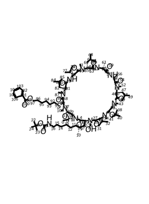 CC[C@H]1NC(=O)[C@H]([C@H](O)[C@H](C)CCCCCCNC(=O)OC(C)(C)C)N(C)C(=O)[C@@H](C(C)C)N(C)C(=O)[C@@H](CC(C)C)N(C)C(=O)[C@H](CC(C)C)N(C)C(=O)[C@H](C)NC(=O)[C@@H](C)NC(=O)[C@@H](CC(C)C)N(C)C(=O)[C@@H](C(C)C)NC(=O)[C@H](CC(C)C)N(C)C(=O)[C@@H](SCCCCCCOC(=O)c2ccccc2)N(C)C1=O